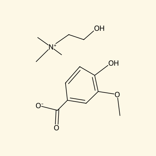 COc1cc(C(=O)[O-])ccc1O.C[N+](C)(C)CCO